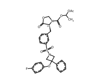 CC(=O)OC(C)OC(=O)N1COC(=O)[C@@H]1Cc1cccc(S(=O)(=O)N2CC(Oc3ccc(F)cc3)(c3ccccc3)C2)c1